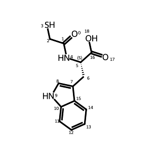 O=C(CS)N[C@@H](Cc1c[nH]c2ccccc12)C(=O)O